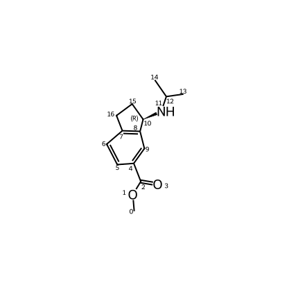 COC(=O)c1ccc2c(c1)[C@H](NC(C)C)CC2